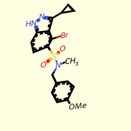 COc1ccc(CN(C)S(=O)(=O)c2ccc3[nH]nc(C4CC4)c3c2Br)cc1